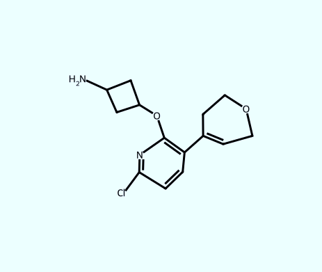 NC1CC(Oc2nc(Cl)ccc2C2=CCOCC2)C1